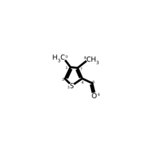 Cc1csc([C]=O)c1C